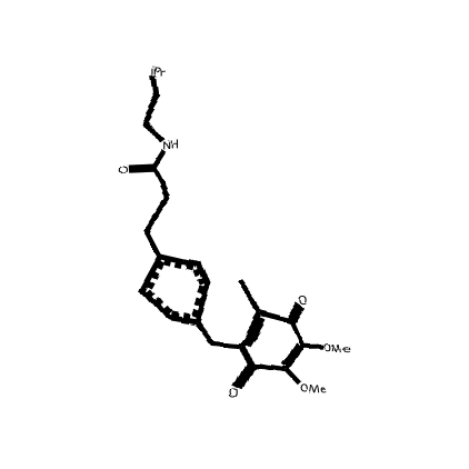 COC1=C(OC)C(=O)C(Cc2ccc(CCC(=O)NCCC(C)C)cc2)=C(C)C1=O